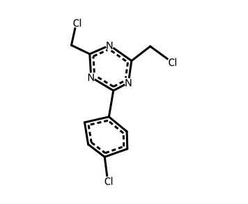 ClCc1nc(CCl)nc(-c2ccc(Cl)cc2)n1